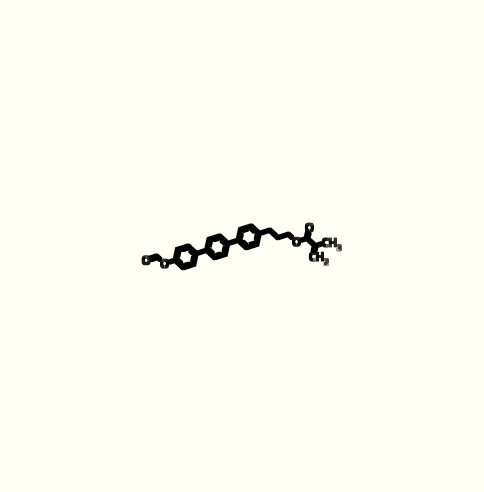 C=C(C)C(=O)OCCCc1ccc(-c2ccc(-c3ccc(OC=O)cc3)cc2)cc1